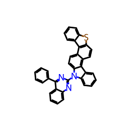 c1ccc(-c2nc(-n3c4ccccc4c4c5ccc6sc7ccccc7c6c5ccc43)nc3ccccc23)cc1